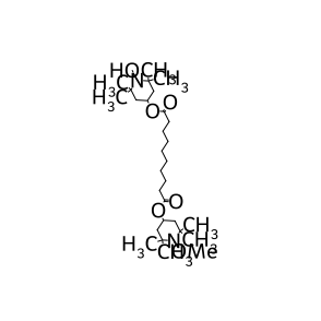 CON1C(C)(C)CC(OC(=O)CCCCCCCCC(=O)OC2CC(C)(C)N(O)C(C)(C)C2)CC1(C)C